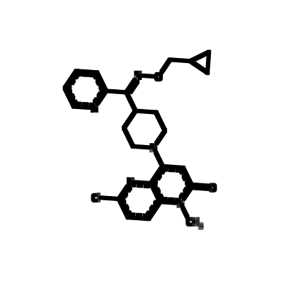 Cn1c(=O)cc(N2CCC(/C(=N\OCC3CC3)c3ccccn3)CC2)c2nc(Cl)ccc21